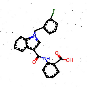 O=C(O)c1ccccc1NC(=O)c1cn(Cc2cccc(F)c2)c2ccccc12